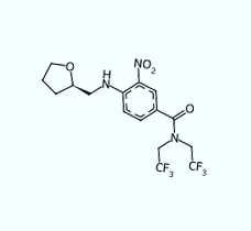 O=C(c1ccc(NC[C@H]2CCCO2)c([N+](=O)[O-])c1)N(CC(F)(F)F)CC(F)(F)F